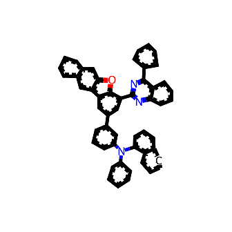 c1ccc(-c2nc(-c3cc(-c4cccc(N(c5ccccc5)c5cccc6ccccc56)c4)cc4c3oc3cc5ccccc5cc34)nc3ccccc23)cc1